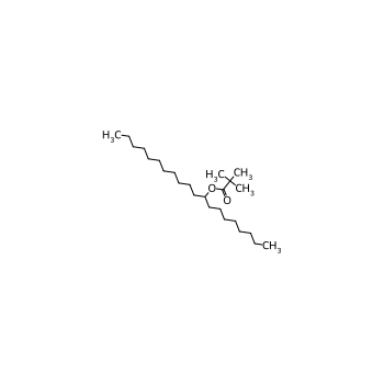 CCCCCCCCCCCC(CCCCCCCC)OC(=O)C(C)(C)C